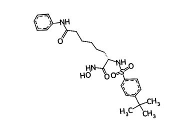 CC(C)(C)c1ccc(S(=O)(=O)N[C@@H](CCCCCC(=O)Nc2ccccc2)C(=O)NO)cc1